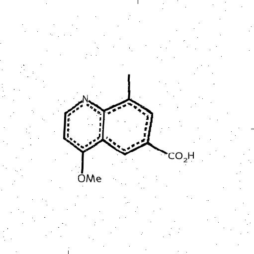 COc1ccnc2c(C)cc(C(=O)O)cc12